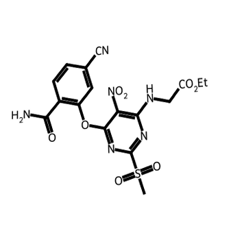 CCOC(=O)CNc1nc(S(C)(=O)=O)nc(Oc2cc(C#N)ccc2C(N)=O)c1[N+](=O)[O-]